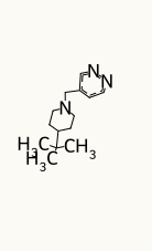 CC(C)(C)C1CCN(Cc2ccnnc2)CC1